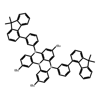 CC(C)(C)c1ccc2c(c1)B1c3cc(C(C)(C)C)ccc3N(c3cccc(-c4cccc5c4-c4ccccc4C5(C)C)c3)c3cc(C(C)(C)C)cc(c31)N2c1cccc(-c2cccc3c2-c2ccccc2C3(C)C)c1